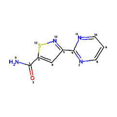 NC(=O)c1cc(-c2ncccn2)ns1